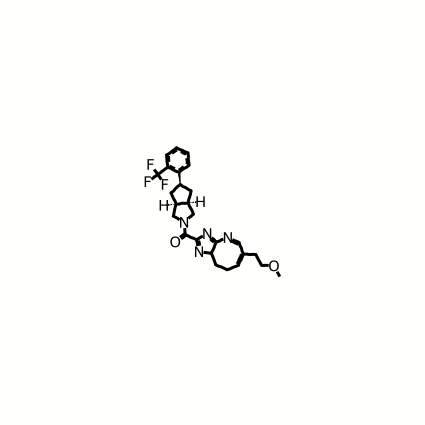 COCCC1=C/CCC2N=C(C(=O)N3C[C@H]4C[C@@H](c5ccccc5C(F)(F)F)C[C@H]4C3)N=C2/N=C\1